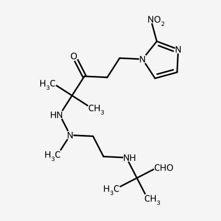 CN(CCNC(C)(C)C=O)NC(C)(C)C(=O)CCn1ccnc1[N+](=O)[O-]